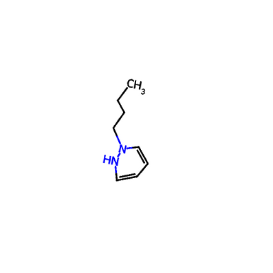 CCCCN1C=CC=CN1